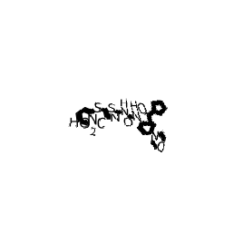 O=C(Nc1nc(C(=O)O)c(Sc2ccccn2)s1)Nc1ccc(N2CCOCC2)cc1C(=O)C1CCCC1